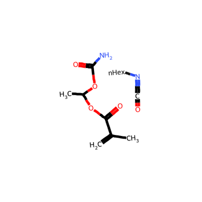 C=C(C)C(=O)OC(C)OC(N)=O.CCCCCCN=C=O